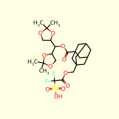 CC1(C)OCC(C(OC(=O)C23CC4CC(CC(COC(=O)C(F)(F)S(=O)(=O)O)(C4)C2)C3)C2COC(C)(C)O2)O1